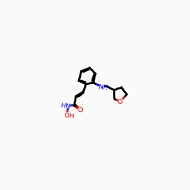 O=C(C=Cc1ccccc1NCC1CCOC1)NO